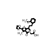 COc1ccccc1CCc1cn(CC(=O)O)c(=O)c2c(C)c(-c3ncco3)sc12